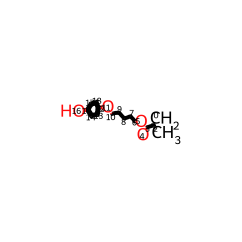 C=C(C)C(=O)OCCCCCOc1ccc(O)cc1